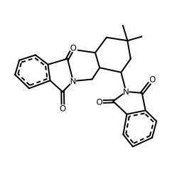 CC1CC(C)(C)CC(N2C(=O)c3ccccc3C2=O)C1CN1C(=O)c2ccccc2C1=O